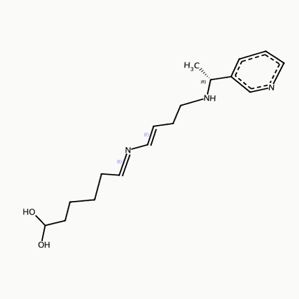 C[C@@H](NCC/C=C/N=C/CCCCC(O)O)c1cccnc1